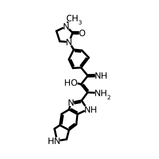 CN1CCN(c2ccc(C(=N)/C(O)=C(\N)c3nc4cc5c(cc4[nH]3)CNC5)cc2)C1=O